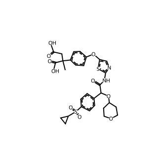 CC(CC(=O)O)(C(=O)O)c1ccc(Oc2cnc(NC(=O)C(OC3CCOCC3)c3ccc(S(=O)(=O)C4CC4)cc3)s2)cc1